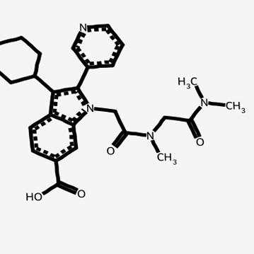 CN(C)C(=O)CN(C)C(=O)Cn1c(-c2cccnc2)c(C2CCCCC2)c2ccc(C(=O)O)cc21